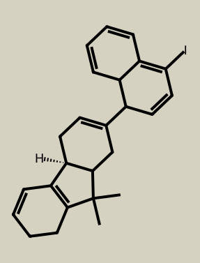 CC1(C)C2=C(C=CCC2)[C@H]2CC=C(C3C=CC(I)=C4C=CC=CC43)CC21